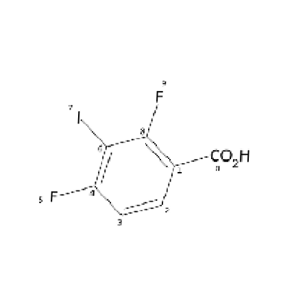 O=C(O)c1ccc(F)c(I)c1F